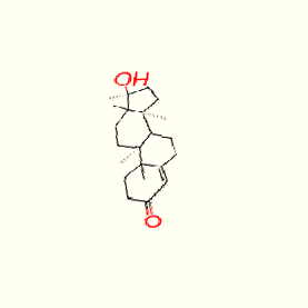 CC12CCC(=O)C=C1CCC1[C@]2(C)CCC2(C)[C@@](C)(O)CC[C@@]12C